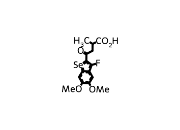 COc1cc2[se]c(C(=O)CC(C)C(=O)O)c(F)c2cc1OC